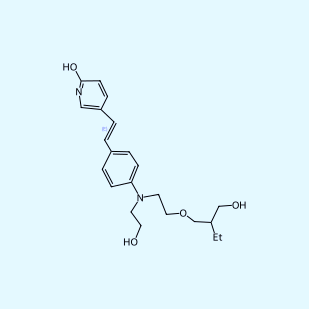 CCC(CO)COCCN(CCO)c1ccc(/C=C/c2ccc(O)nc2)cc1